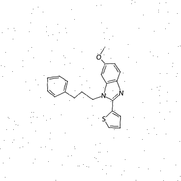 COc1ccc2nc(-c3cccs3)n(CCCc3ccccc3)c2c1